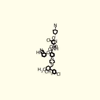 CC1(C)CCC(CN2CCN(c3ccc(C(=O)NS(=O)(=O)c4cnc(OC[C@H]5CC[C@H](C#N)CC5)c(Cl)c4)c(Oc4cccc5[nH]ncc45)c3)CC2)=C(c2ccc(Cl)cc2)C1